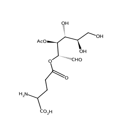 CC(=O)O[C@@H]([C@H](O)[C@H](O)CO)[C@H](C=O)OC(=O)CCC(N)C(=O)O